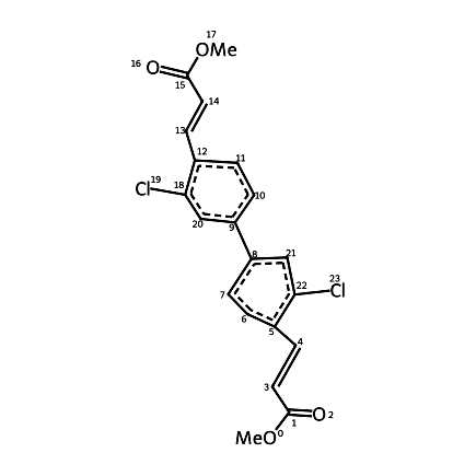 COC(=O)C=Cc1ccc(-c2ccc(C=CC(=O)OC)c(Cl)c2)cc1Cl